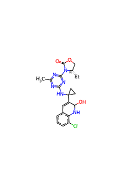 CC[C@H]1COC(=O)N1c1nc(C)nc(NC2(C3=Cc4cccc(Cl)c4NC3O)CC2)n1